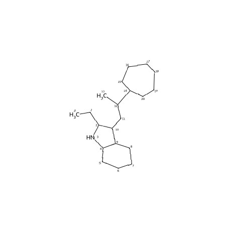 CCC1NC2CCCCC2C1CC(C)C1CCCCCC1